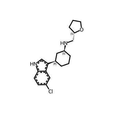 Clc1ccc2[nH]cc([C@@H]3CCC[C@H](NC[C@@H]4CCCO4)C3)c2c1